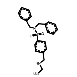 CC(C)(C)CNCc1ccc(S(=O)(=O)N(Cc2ccccc2)Cc2ccccc2)cc1